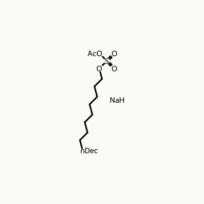 CCCCCCCCCCCCCCCCCCOS(=O)(=O)OC(C)=O.[NaH]